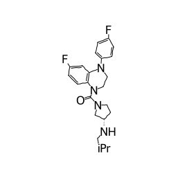 CC(C)CN[C@H]1CCN(C(=O)N2CCN(c3ccc(F)cc3)c3cc(F)ccc32)C1